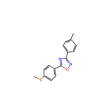 CSc1ccc(-c2nc(-c3ccc(C)cc3)no2)cc1